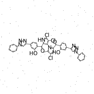 Cc1c(Cl)cc(C(=O)c2ccc(-c3cn(-c4ccccc4)nn3)cc2O)n1-c1c(C(=O)c2ccc(-c3cn(-c4ccccc4)nn3)cc2O)[nH]c(Cl)c1Cl